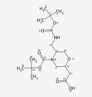 CC(C)(C)OC(=O)NCC1COC(CC(=O)O)CN1C(=O)OC(C)(C)C